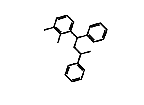 Cc1cccc(C(CC(C)c2ccccc2)c2ccccc2)c1C